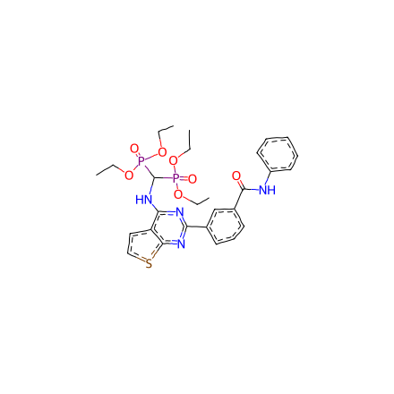 CCOP(=O)(OCC)C(Nc1nc(-c2cccc(C(=O)Nc3ccccc3)c2)nc2sccc12)P(=O)(OCC)OCC